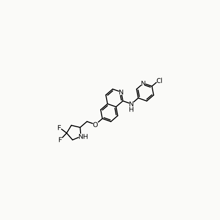 FC1(F)CNC(COc2ccc3c(Nc4ccc(Cl)nc4)nccc3c2)C1